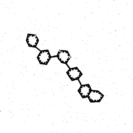 c1cncc(-c2cccc(-c3cc(-c4ccc(-c5ccc6ccccc6c5)cc4)ncn3)c2)c1